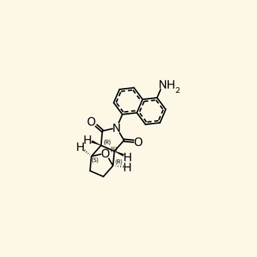 Nc1cccc2c(N3C(=O)[C@@H]4[C@H](C3=O)[C@H]3CC[C@@H]4O3)cccc12